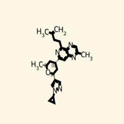 C=C(C)CCc1nc([C@H]2C[C@@H](C)O[C@@H](c3cnn(C4CC4)c3)C2)cc2nc(C)cnc12